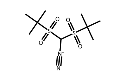 CC(C)(C)S(=O)(=O)C([N+]#N)S(=O)(=O)C(C)(C)C